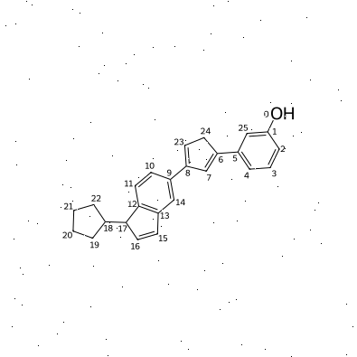 Oc1cccc(C2=CC(c3ccc4c(c3)C=CC4C3CCCC3)=CC2)c1